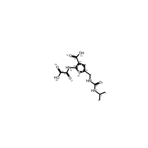 CC(C)NC(=O)NCc1cc(C(=O)O)c(NC(=O)C(=O)O)s1